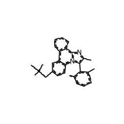 Cc1cccc(C)c1-c1c(C)nc2c3ccccc3c3cc(CC(C)(C)C)ccc3n12